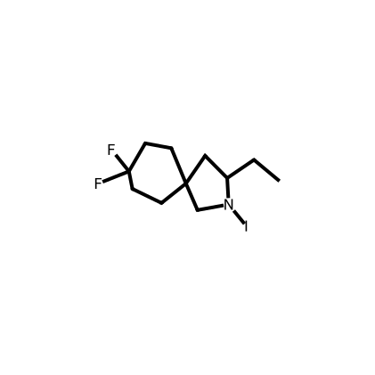 CCC1CC2(CCC(F)(F)CC2)CN1I